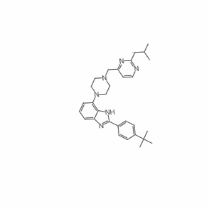 CC(C)[CH]c1nccc(CN2CCN(c3cccc4nc(-c5ccc(C(C)(C)C)cc5)[nH]c34)CC2)n1